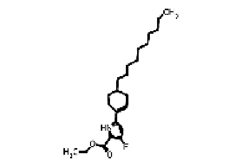 CCCCCCCCCCC1CC=C(c2cc(F)c(C(=O)OCC)[nH]2)CC1